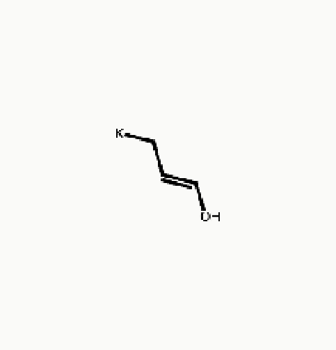 OC=C[CH2][K]